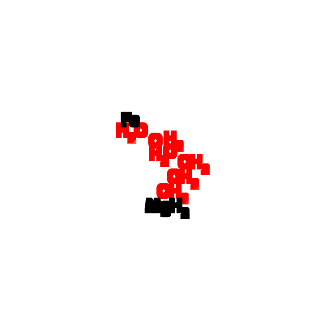 O.O.O.O.O.O.[Fe].[MgH2]